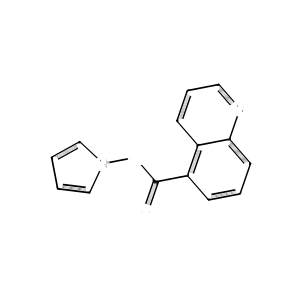 O=C(On1cccc1)c1cccc2ncccc12